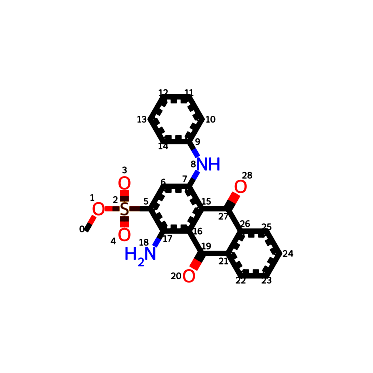 COS(=O)(=O)c1cc(Nc2ccccc2)c2c(c1N)C(=O)c1ccccc1C2=O